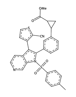 COC(=O)C1CC1c1cccc(-c2c(-c3ccsc3C#N)c3ccncc3n2S(=O)(=O)c2ccc(C)cc2)c1